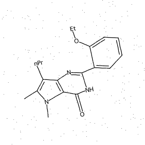 CCCc1c(C)n(C)c2c(=O)[nH]c(-c3ccccc3OCC)nc12